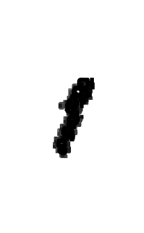 C[C@@H]1CN(C2=CC=C(C#N)C3N=CC(F)=C23)C[C@H](CC2CCN(c3ccc(C4=CCC5(CCC5)C4)nc3)CC2)O1